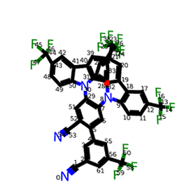 N#Cc1cc(-c2cc(-n3c4ccc(C(F)(F)F)cc4c4cc(C(F)(F)F)ccc43)c(-n3c4ccc(C(F)(F)F)cc4c4cc(C(F)(F)F)ccc43)cc2C#N)cc(C(F)(F)F)c1